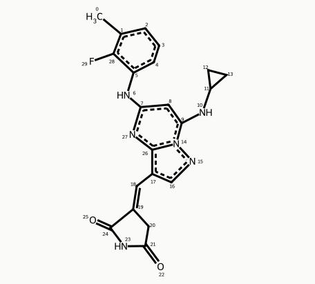 Cc1cccc(Nc2cc(NC3CC3)n3ncc(C=C4CC(=O)NC4=O)c3n2)c1F